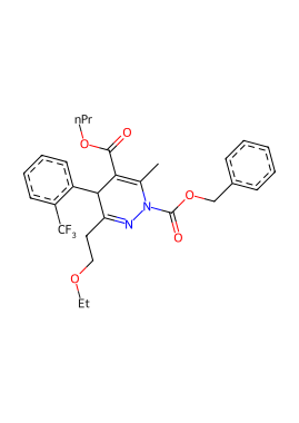 CCCOC(=O)C1=C(C)N(C(=O)OCc2ccccc2)N=C(CCOCC)C1c1ccccc1C(F)(F)F